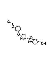 OCc1ccc2nc(-c3ccc(Oc4cccc(OCC5CC5)c4)nc3)oc2c1